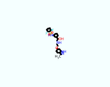 Cc1n[nH]c2cc(OCCNCC(O)c3cccc(NS(=O)(=O)c4c(F)cccc4F)c3)ccc12